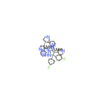 CSc1ccccc1N(c1[nH]ncc1-c1ccncc1)[N+]1(c2ccccc2SC)NC(c2ccc(F)cc2)(c2ccc(F)cc2)C(c2ccncc2)C1=[N+]=[N-]